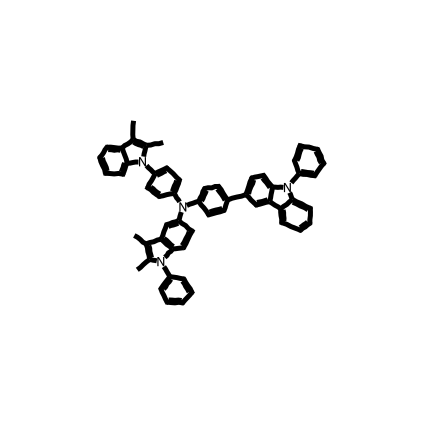 Cc1c(C)n(-c2ccc(N(c3ccc(-c4ccc5c(c4)c4ccccc4n5-c4ccccc4)cc3)c3ccc4c(c3)c(C)c(C)n4-c3ccccc3)cc2)c2ccccc12